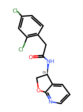 O=C(Cc1ccc(Cl)cc1Cl)N[C@@H]1COc2ncccc21